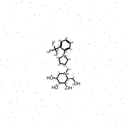 OC[C@H]1[C@@H](O)[C@H](O)[C@@H](O)CN1C[C@@H]1CCN(c2ccccc2C(F)(F)F)C1